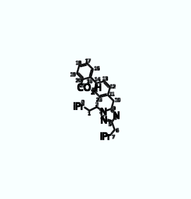 CC(C)CCn1nc(CC(C)C)nc1Cc1ccc(-c2ccccc2C(=O)O)cc1